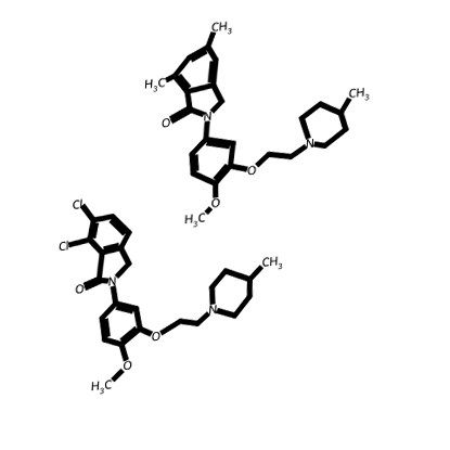 COc1ccc(N2Cc3cc(C)cc(C)c3C2=O)cc1OCCN1CCC(C)CC1.COc1ccc(N2Cc3ccc(Cl)c(Cl)c3C2=O)cc1OCCN1CCC(C)CC1